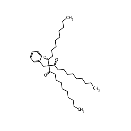 CCCCCCCCCC(=O)C(Cc1ccccc1)(C(=O)CCCCCCCCC)C(=O)CCCCCCCCC